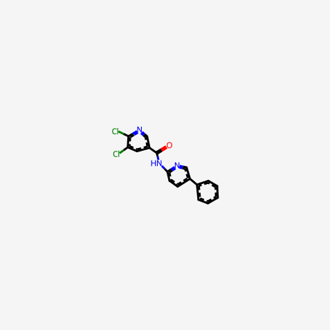 O=C(Nc1ccc(-c2ccccc2)cn1)c1cnc(Cl)c(Cl)c1